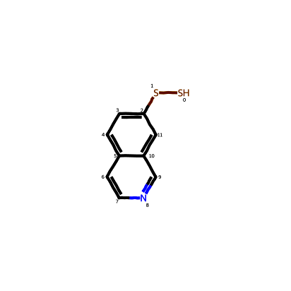 SSc1ccc2ccncc2c1